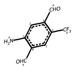 Nc1cc(C=O)c(C(F)(F)F)cc1C=O